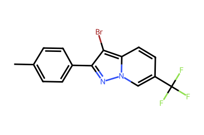 Cc1ccc(-c2nn3cc(C(F)(F)F)ccc3c2Br)cc1